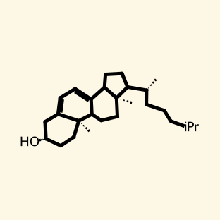 CC(C)CCC[C@@H](C)C1CCC2C3=CC=C4C[C@@H](O)CC[C@]4(C)C3CC[C@@]21C